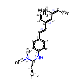 C=C=C(Nc1ccc(/C=C/C(C=C)=C/C(=C\CCC)NC)cc1)N(CCC)CCC